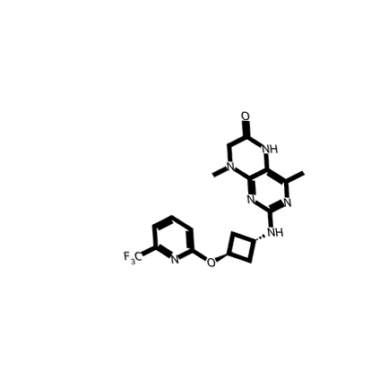 Cc1nc(N[C@H]2C[C@H](Oc3cccc(C(F)(F)F)n3)C2)nc2c1NC(=O)CN2C